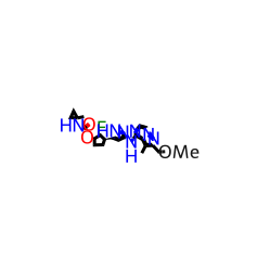 COCc1nn2ccnc(Nc3cc([C@H]4CC[C@@H](OC(=O)NC5(C)CC5)[C@H]4F)[nH]n3)c2c1C